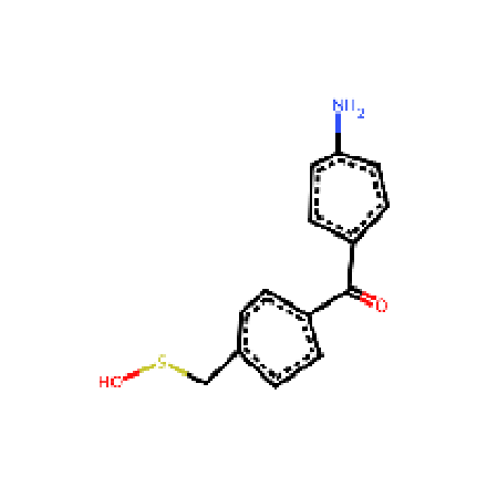 Nc1ccc(C(=O)c2ccc(CSO)cc2)cc1